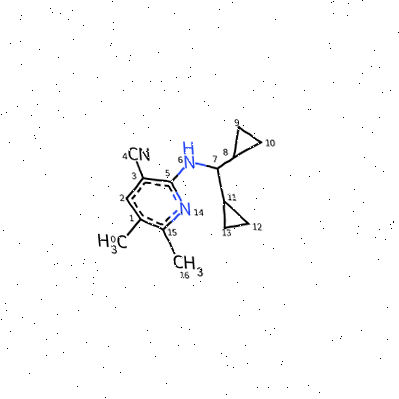 Cc1cc(C#N)c(NC(C2CC2)C2CC2)nc1C